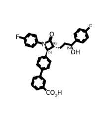 O=C(O)c1cccc(-c2ccc([C@@H]3[C@@H](CC[C@H](O)c4ccc(F)cc4)C(=O)N3c3ccc(F)cc3)cc2)c1